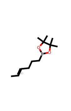 C/C=C/CCCB1OC(C)(C)C(C)(C)O1